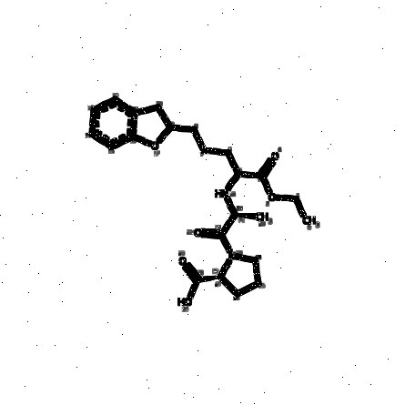 CCOC(=O)C(CCCC1Cc2ccccc2O1)N[C@@H](C)C(=O)N1CCC[C@H]1C(=O)O